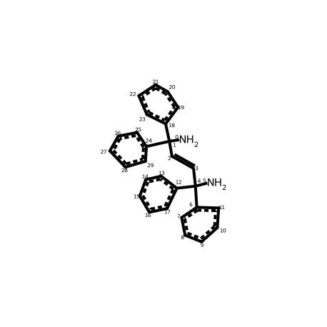 NC(C=CC(N)(c1ccccc1)c1ccccc1)(c1ccccc1)c1ccccc1